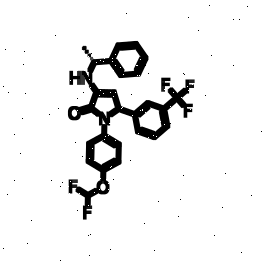 C[C@@H](NC1=CC(c2cccc(C(F)(F)F)c2)N(c2ccc(OC(F)F)cc2)C1=O)c1ccccc1